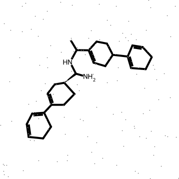 CC(NC(N)[C@@H]1CC=C(C2=CC=CCC2)CC1)C1=CCC(C2=CCCC=C2)CC1